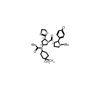 CC1(C)CCC(N(C(=O)C(C)(C)C)[C@H]2C[C@@H](C3=NCCO3)N(C(=O)[C@H]3CCN(C(C)(C)C)C3c3ccc(Cl)cc3)C2)CC1